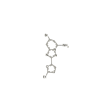 CCc1ccc(-c2nc3cc(Br)cc(N)n3n2)o1